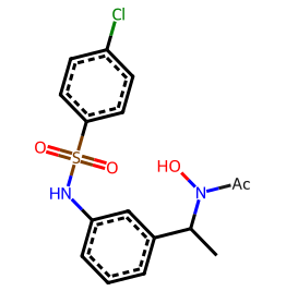 CC(=O)N(O)C(C)c1cccc(NS(=O)(=O)c2ccc(Cl)cc2)c1